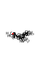 CC[C@@H](C(=O)[C@@H](C)[C@@H](O)[C@H](C)CCc1ccc(C)c(O)c1C(=O)[O-])[C@H]1O[C@](CC)([C@H]2CC[C@](O)(CC)[C@H](C)O2)C[C@@H]1C.[Na+]